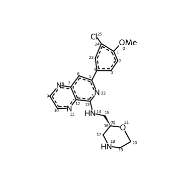 COc1ccc(-c2cc3nccnc3c(NC[C@@H]3CNCCO3)n2)cc1Cl